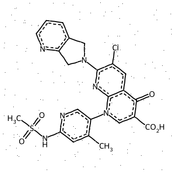 Cc1cc(NS(C)(=O)=O)ncc1-n1cc(C(=O)O)c(=O)c2cc(Cl)c(N3Cc4cccnc4C3)nc21